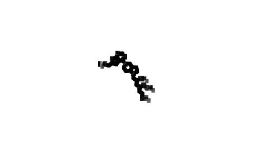 C=NN(/C=C(\C)CN1CCC2CN(c3ncnc4sc(CC(F)(F)F)cc34)CCC21)CCN